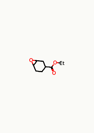 CCOC(=O)C1CCC2OC2C1